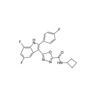 O=C(NC1CCC1)c1nnc(-c2c(-c3ccc(F)cc3)[nH]c3c(F)cc(F)cc23)o1